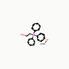 O=C[O-].OCC[P+](c1ccccc1)(c1ccccc1)c1ccccc1